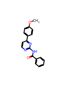 COc1ccc(-c2ccnc(NC(=O)c3ccccc3)n2)cc1